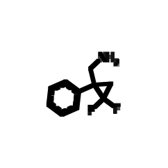 NCC1(c2ccccc2)CC1(F)F